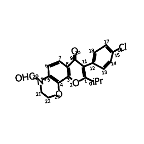 CC(C)c1oc2c3c(ccc2c(=O)c1-c1ccc(Cl)cc1)N(C=O)CCO3